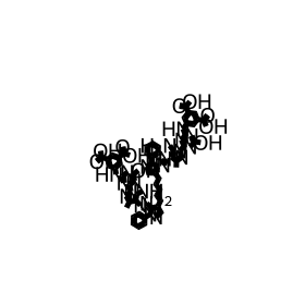 Cc1nn(-c2nc(O)nc(Nc3cc(C(=O)O)cc(C(=O)O)c3)n2)c(N)c1/N=N/c1c(CCCCCc2cnn(-c3ccccc3)c2/N=N/c2c(C)nn(-c3nc(O)nc(Nc4cc(C(=O)O)cc(C(=O)O)c4)n3)c2N)cnn1-c1ccccc1